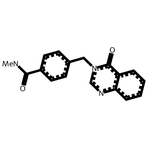 CNC(=O)c1ccc(Cn2cnc3ccccc3c2=O)cc1